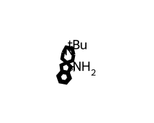 CC(C)(C)N1C2CCC1CC1(Cc3ccccc3[C@H]1N)C2